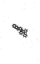 c1ccc(N(c2ccccc2)c2cccc3c2oc2ccc4c5cc6ccccc6cc5sc4c23)cc1